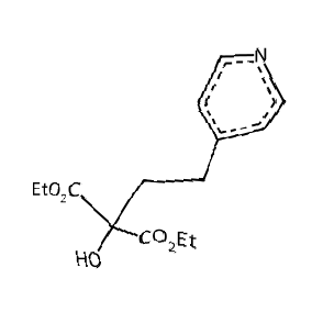 CCOC(=O)C(O)(CCc1ccncc1)C(=O)OCC